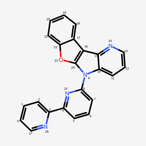 c1ccc(-c2cccc(-n3c4cccnc4c4c5ccccc5oc43)n2)nc1